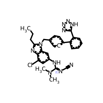 CCCc1nc2c(Cl)cc(N/C(=N\C#N)N(C)C)cc2n1Cc1ccc(-c2ccccc2-c2nnn[nH]2)cc1